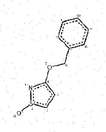 [O-][s+]1ccc(OCc2ccccc2)n1